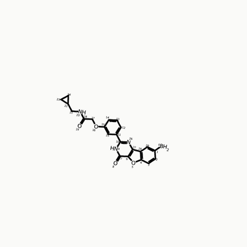 Bc1ccc2oc3c(=O)[nH]c(-c4cccc(OCC(=O)NCC5CC5)c4)nc3c2c1